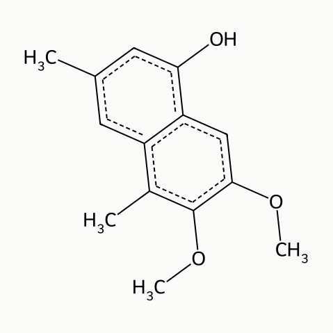 COc1cc2c(O)cc(C)cc2c(C)c1OC